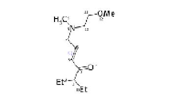 CCC(CC)C(=O)/C=C/CN(C)CCOC